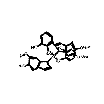 COc1cc2c(cc1OC)[CH]([Zr]([O]c1ccccc1C#N)([O]c1ccccc1C#N)[CH]1C=Cc3cc(OC)c(OC)cc31)C=C2